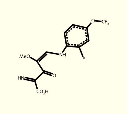 CO/C(=C/Nc1ccc(OC(F)(F)F)cc1F)C(=O)C(=N)C(=O)O